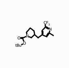 Cc1cc(CC2CCCN(C(=O)OC(C)(C)C)C2)cc(C(F)(F)F)n1